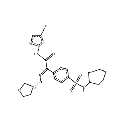 O=C(Nc1ncc(F)s1)/C(=N/O[C@@H]1CCOC1)c1ccc(S(=O)(=O)NC2CCOCC2)cc1